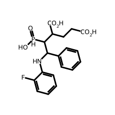 O=C(O)CCC(C(=O)O)C(C(Nc1ccccc1F)c1ccccc1)[PH](=O)O